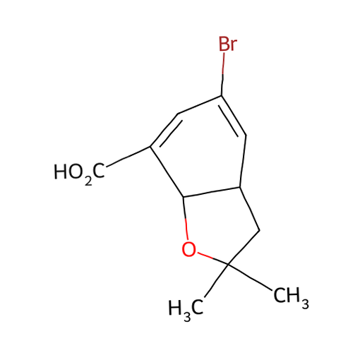 CC1(C)CC2C=C(Br)C=C(C(=O)O)C2O1